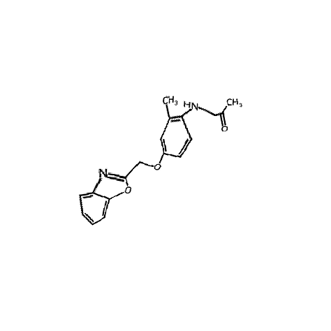 CC(=O)Nc1ccc(OCc2nc3ccccc3o2)cc1C